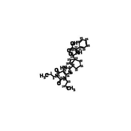 CCCn1c(=O)c2[nH]c(C34CCCC(C(=O)N[C@@H](C(=O)O)c5ccccc5)(CC3)C4)nc2n(CCC)c1=O